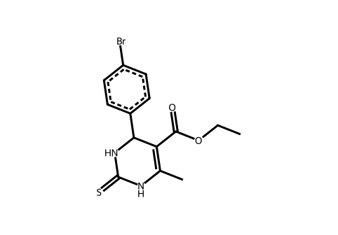 CCOC(=O)C1=C(C)NC(=S)NC1c1ccc(Br)cc1